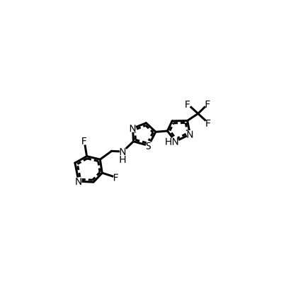 Fc1cncc(F)c1CNc1ncc(-c2cc(C(F)(F)F)n[nH]2)s1